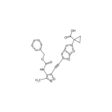 Cc1noc(C#Cc2cc3cc(C4(C(=O)O)CC4)oc3o2)c1NC(=O)OCc1ccccc1